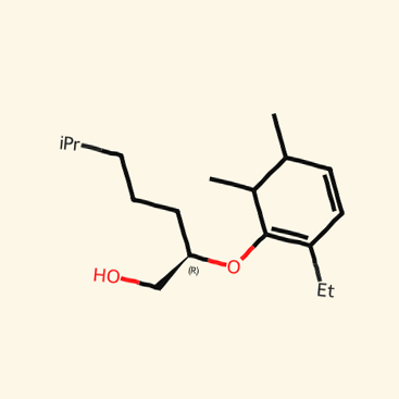 CCC1=C(O[C@@H](CO)CCCC(C)C)C(C)C(C)C=C1